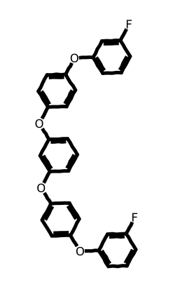 Fc1cccc(Oc2ccc(Oc3cccc(Oc4ccc(Oc5cccc(F)c5)cc4)c3)cc2)c1